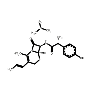 CC(=O)N(C)C.CC=CC1=C(C(=O)O)N2C(=O)[C@@H](NC(=O)[C@H](N)c3ccc(O)cc3)[C@@H]2SC1